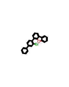 Brc1cc(-c2ccccc2)ccc1-c1cccc2c1oc1ccccc12